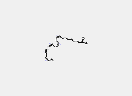 CC/C=C\C/C=C\C/C=C\C/C=C\C/C=C\CCCCCCCC(=O)O